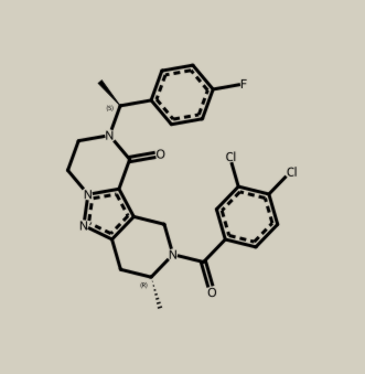 C[C@@H]1Cc2nn3c(c2CN1C(=O)c1ccc(Cl)c(Cl)c1)C(=O)N([C@@H](C)c1ccc(F)cc1)CC3